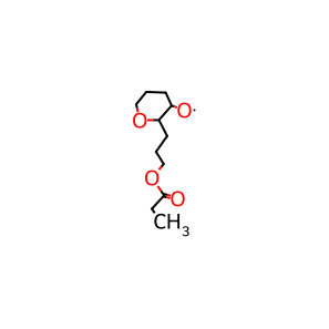 CCC(=O)OCCCC1OCCCC1[O]